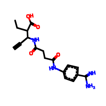 C#CC(NC(=O)CCC(=O)Nc1ccc(C(=N)N)cc1)C(CC)C(=O)O